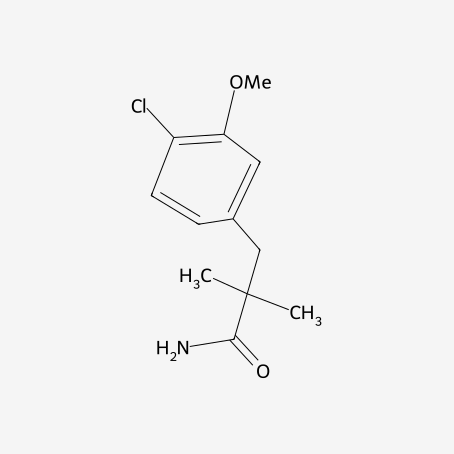 COc1cc(CC(C)(C)C(N)=O)ccc1Cl